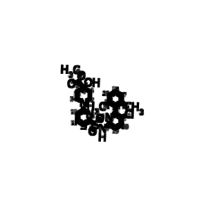 COC(=O)C1(O)CCN(c2cccc(S(=O)(=O)Nc3ccc(Cl)c(-c4c(C)cccc4C)n3)n2)CC1